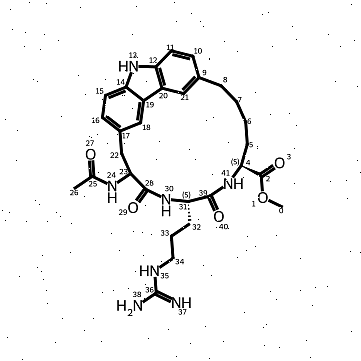 COC(=O)[C@@H]1CCCCc2ccc3[nH]c4ccc(cc4c3c2)CC(NC(C)=O)C(=O)N[C@@H](CCCNC(=N)N)C(=O)N1